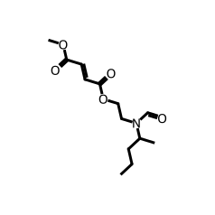 CCCC(C)N(C=O)CCOC(=O)/C=C/C(=O)OC